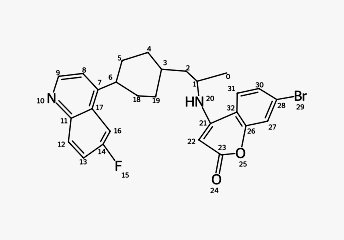 CC(CC1CCC(c2ccnc3ccc(F)cc23)CC1)Nc1cc(=O)oc2cc(Br)ccc12